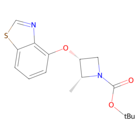 C[C@@H]1[C@H](Oc2cccc3scnc23)CN1C(=O)OC(C)(C)C